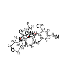 CCOc1c(Nc2c(F)cc(C#N)cc2Cl)ncnc1OC1C2COCC1CN(C(=O)OC1(C)CC1)C2